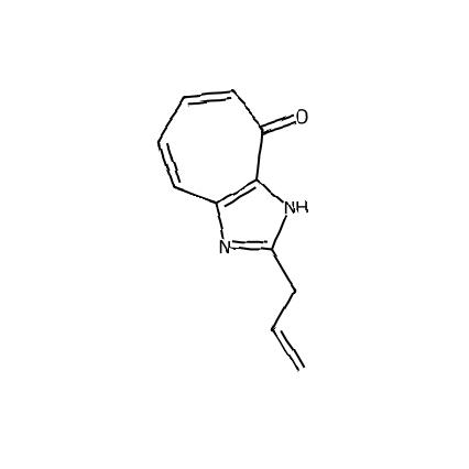 C=CCc1nc2ccccc(=O)c2[nH]1